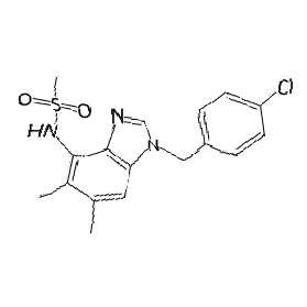 Cc1cc2c(ncn2Cc2ccc(Cl)cc2)c(NS(C)(=O)=O)c1C